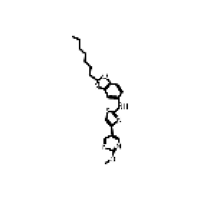 CCCCCCCc1nc2cc(Nc3nc(-c4cnc(OC)nc4)cs3)ccc2o1